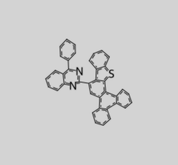 c1ccc(-c2nc(-c3cc4c5ccccc5c5ccccc5c4c4sc5ccccc5c34)nc3ccccc23)cc1